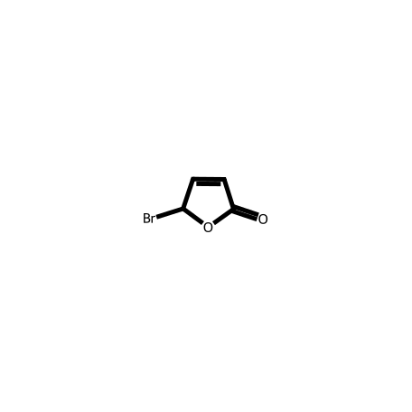 O=C1C=CC(Br)O1